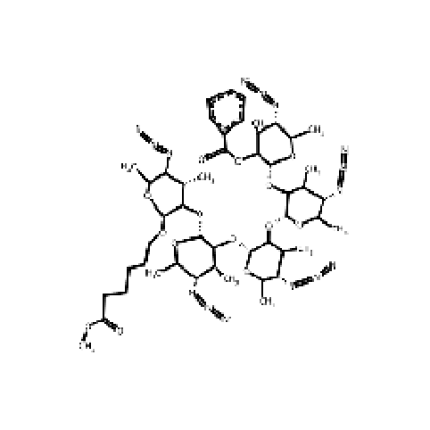 COC(=O)CCCCCO[C@H]1OC(C)[C@@H](N=[N+]=[N-])[C@H](C)C1O[C@H]1OC(C)[C@@H](N=[N+]=[N-])[C@H](C)C1O[C@H]1OC(C)[C@@H](N=[N+]=[N-])[C@H](C)C1O[C@H]1OC(C)[C@@H](N=[N+]=[N-])[C@H](C)C1O[C@H]1OC(C)[C@@H](N=[N+]=[N-])[C@H](C)C1OC(=O)c1ccccc1